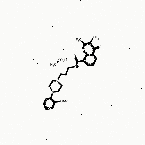 COc1ccccc1N1CCN(CCCNC(=O)c2cccc3c(=O)c(C)c(C(F)(F)F)oc23)CC1.CS(=O)(=O)O